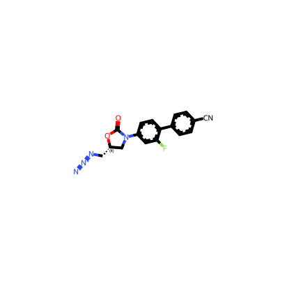 N#Cc1ccc(-c2ccc(N3C[C@H](CN=[N+]=[N-])OC3=O)cc2F)cc1